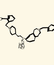 Cl.Cl.[O-][S+](CCC1CCN(Cc2ccccc2Cl)CC1)c1ccc2c(c1)CCN(Cc1ccccc1)CC2